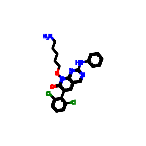 NCCCCCOn1c(=O)c(-c2c(Cl)cccc2Cl)cc2cnc(Nc3ccccc3)nc21